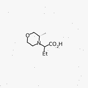 CCC(C(=O)O)N1CCOC[C@@H]1C